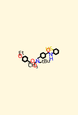 CCOc1ccc([C@H](C)OC(=O)N(Cc2ccc(C(=O)Nc3ccccc3S)cc2)CC(C)(C)C)cc1